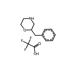 O=C(O)C(F)(F)F.c1ccc(CC2CNCCO2)cc1